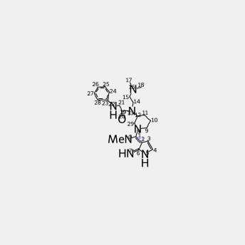 CN/C(=C1/C=CNC1=N)N1CCCC(N(CCN(C)C)C(=O)CNc2ccccc2)C1